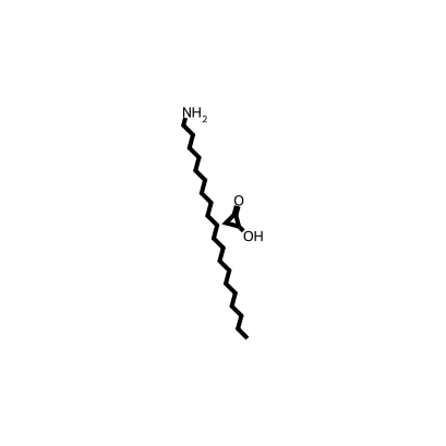 CCCCCCCCCCCCCCCCCCCCN.O=C1CC1O